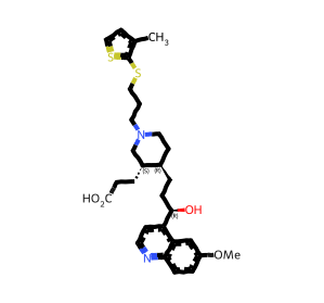 COc1ccc2nccc([C@H](O)CC[C@@H]3CCN(CCCSc4sccc4C)C[C@H]3CCC(=O)O)c2c1